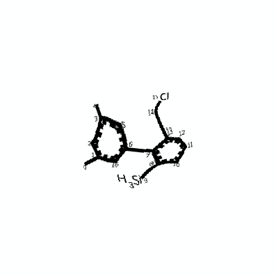 Cc1cc(C)cc(-c2c([SiH3])cccc2CCl)c1